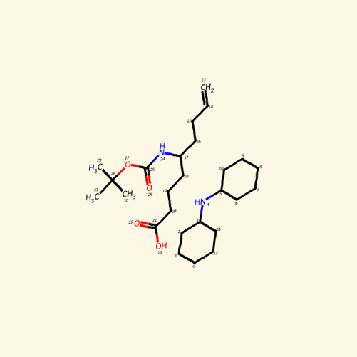 C1CCC(NC2CCCCC2)CC1.C=CCCC(CCCC(=O)O)NC(=O)OC(C)(C)C